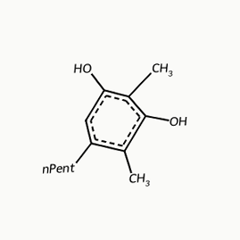 CCCCCc1cc(O)c(C)c(O)c1C